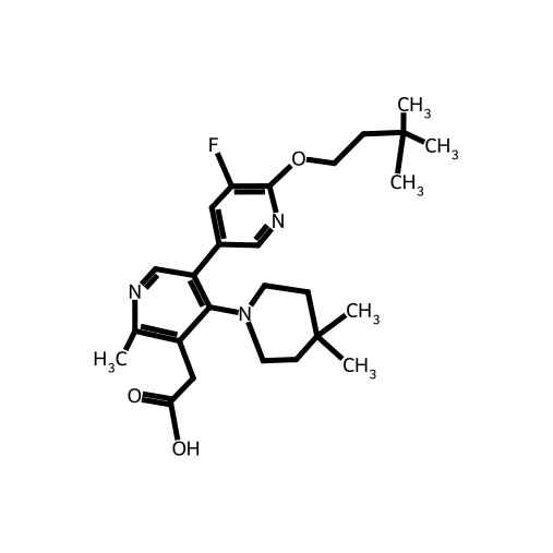 Cc1ncc(-c2cnc(OCCC(C)(C)C)c(F)c2)c(N2CCC(C)(C)CC2)c1CC(=O)O